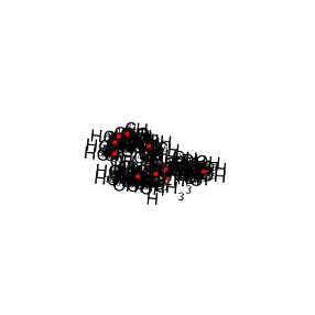 CC(=O)N[C@H]1[C@H](OC[C@H]2O[C@@H](O[C@H]3[C@H](O)[C@@H](NC(C)=O)[C@H](O[C@H]4[C@@H](O)[C@@H](CO)O[C@@H](O[C@H]5[C@H](O)[C@@H](NC(C)=O)[C@H](O[C@H]6[C@@H](O)[C@@H](CO)O[C@@H](O[C@H]7[C@H](O)[C@@H](O)[C@H](O)O[C@@H]7CO)[C@@H]6O)O[C@@H]5CO)[C@@H]4O)O[C@@H]3CO)[C@H](O)[C@@H](O[C@@H]3O[C@H](CO)[C@@H](O[C@@H]4O[C@H](CO)[C@H](O)[C@H](O[C@H]5O[C@H](CO)[C@H](O)[C@H](O)[C@H]5O)[C@H]4O)[C@H](O)[C@H]3NC(C)=O)[C@H]2O)O[C@H](CO)[C@@H](O[C@@H]2O[C@H](CO)[C@H](O)[C@H](O[C@H]3O[C@H](CO)[C@H](O)[C@H](O)[C@H]3O)[C@H]2O)[C@@H]1O